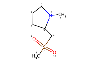 CN1CCCC1CS(C)(=O)=O